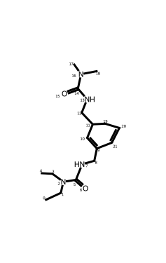 CCN(CC)C(=O)NCC1=CC(CNC(=O)N(C)C)CC=C1